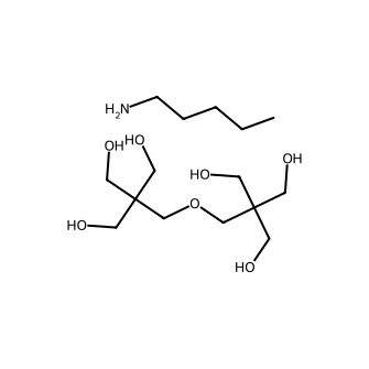 CCCCCN.OCC(CO)(CO)COCC(CO)(CO)CO